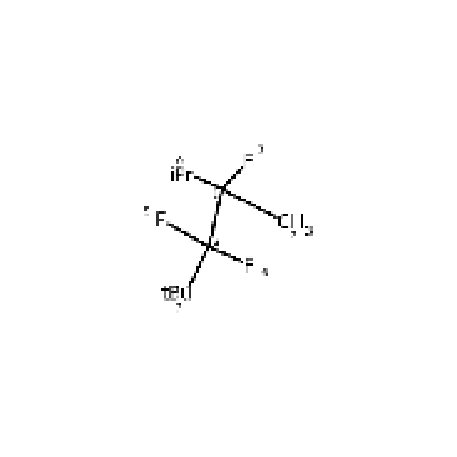 CC(C)C(C)(F)C(F)(F)C(C)(C)C